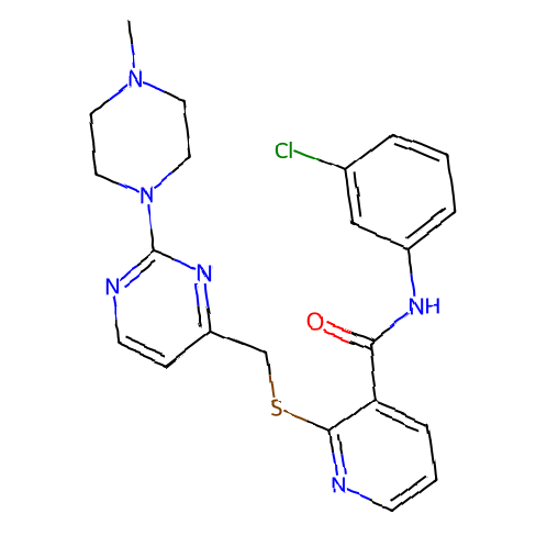 CN1CCN(c2nccc(CSc3ncccc3C(=O)Nc3cccc(Cl)c3)n2)CC1